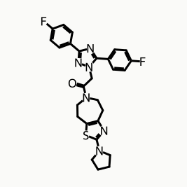 O=C(Cn1nc(-c2ccc(F)cc2)nc1-c1ccc(F)cc1)N1CCc2nc(N3CCCC3)sc2CC1